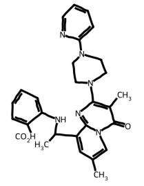 Cc1cc(C(C)Nc2ccccc2C(=O)O)c2nc(N3CCN(c4ccccn4)CC3)c(C)c(=O)n2c1